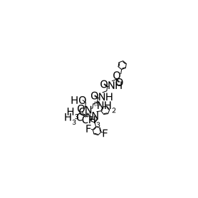 CC(C)(C)[C@H](c1cc(-c2cc(F)ccc2F)cn1Cc1ccccc1)N(CC[C@H](N)C(=O)NCCC(=O)NCC(=O)OCc1ccccc1)C(=O)CO